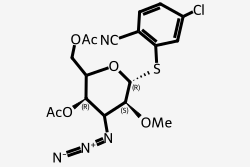 CO[C@H]1C(N=[N+]=[N-])[C@@H](OC(C)=O)C(COC(C)=O)O[C@@H]1Sc1cc(Cl)ccc1C#N